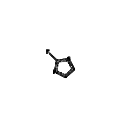 Fc1pccs1